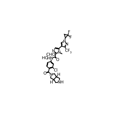 Cn1c(-c2cn(C3CC3(F)F)nc2C(F)(F)F)cnc1C(=O)Nc1ccc(C(=O)N2C[C@H]3CNC[C@H]3C2)c(Cl)c1.O=CO